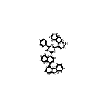 C1=C(C2=NC(c3ccccc3)NC(c3ccc(-c4cccc5oc6ccccc6c45)c4ccccc34)=N2)c2c(oc3ccccc23)NC1